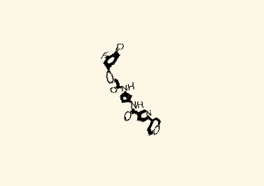 O=C(COc1ccc(Cl)c(F)c1)NC1CC2(NC(=O)c3ccc(C4=CCOCC4)nc3)CC1C2